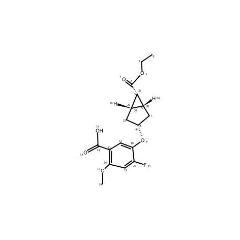 CCOC(=O)[C@@H]1[C@@H]2C[C@H](Oc3cc(C(=O)O)c(OC)cc3F)C[C@@H]21